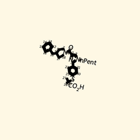 CCCCCn1cc(C(=O)N2CCC(Cc3ccccc3)CC2)nc1-c1ccc(SC(C)(C)C(=O)O)cc1